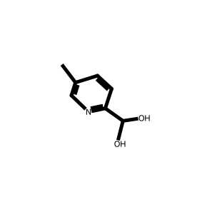 Cc1ccc(C(O)O)nc1